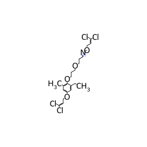 CCc1cc(OCC=C(Cl)Cl)cc(C)c1OCCCOCC/C=N/OCC=C(Cl)Cl